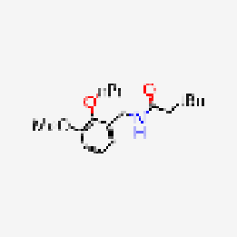 CCCOc1c(CNC(=O)CC(C)(C)C)cccc1OC